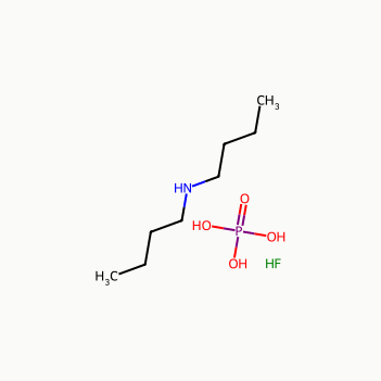 CCCCNCCCC.F.O=P(O)(O)O